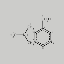 CN(C)C.O=C(O)c1cncnc1